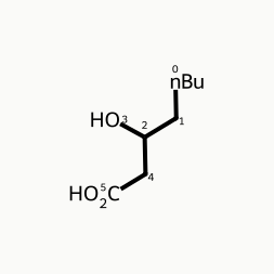 [CH2]CCCCC(O)CC(=O)O